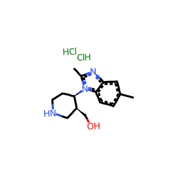 Cc1ccc2c(c1)nc(C)n2[C@@H]1CCNC[C@@H]1CO.Cl.Cl